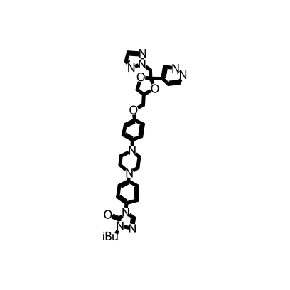 CCC(C)n1ncn(-c2ccc(N3CCN(c4ccc(OCC5COC(Cn6nccn6)(c6ccnnc6)O5)cc4)CC3)cc2)c1=O